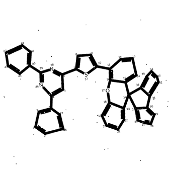 c1ccc(-c2cc(-c3ccc(-c4cccc5c4Oc4ccccc4C54c5ccccc5-c5ccccc54)s3)nc(-c3ccccc3)n2)cc1